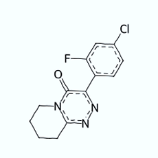 O=c1c(-c2ccc(Cl)cc2F)nnc2n1CCCC2